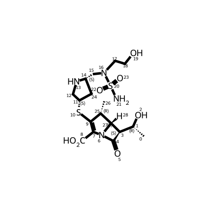 C[C@@H](O)[C@H]1C(=O)N2C(C(=O)O)=C(S[C@@H]3CN[C@H](CN(CCO)S(N)(=O)=O)C3)[C@H](C)[C@H]12